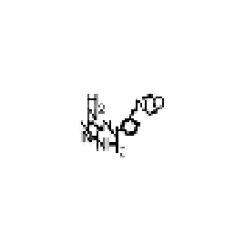 NC1=NN=C(N)C1=NNc1cccc(CN2CCOCC2)c1